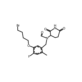 Cc1cc(F)c(OCCCCBr)cc1CN(C=O)C1CCC(=O)NC1=O